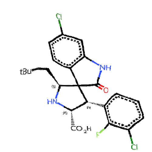 CC(C)(C)C[C@@H]1N[C@@H](C(=O)O)[C@@H](c2cccc(Cl)c2F)C12C(=O)Nc1cc(Cl)ccc12